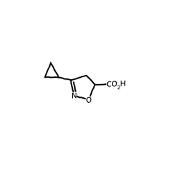 O=C(O)C1CC(C2CC2)=NO1